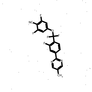 Cc1cnc(-c2ccc(C(F)(F)Oc3cc(F)c(C#N)c(F)c3)c(F)c2)nc1